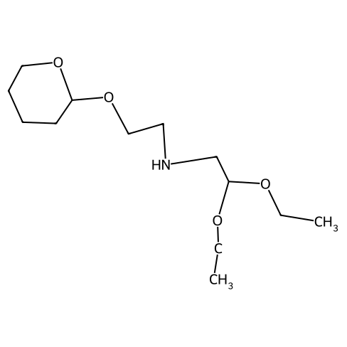 CCOC(CNCCOC1CCCCO1)OCC